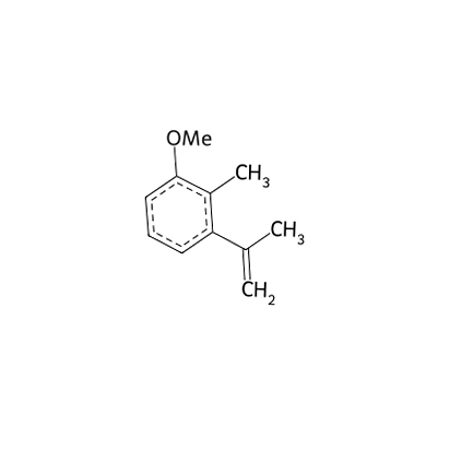 C=C(C)c1cccc(OC)c1C